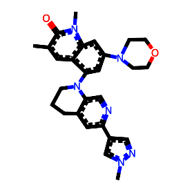 Cc1cc2c(N3CCCc4cc(-c5cnn(C)c5)ncc43)cc(N3CCOCC3)cc2n(C)c1=O